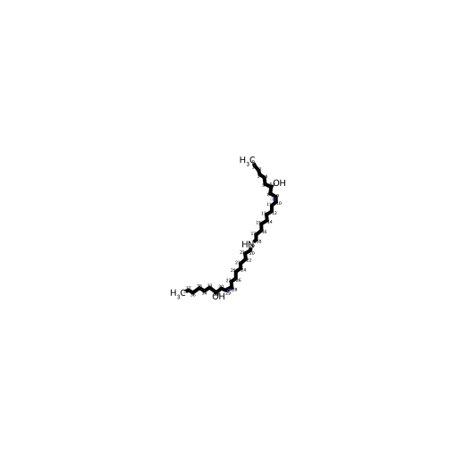 CCCCCC[C@@H](O)C/C=C\CCCCCCCCNCCCCCCCC/C=C\C[C@H](O)CCCCCC